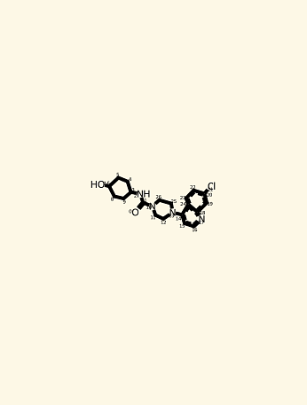 O=C(NC1CCC(O)CC1)N1CCN(c2ccnc3cc(Cl)ccc23)CC1